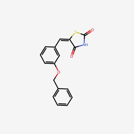 O=C1NC(=O)/C(=C\c2cccc(OCc3ccccc3)c2)S1